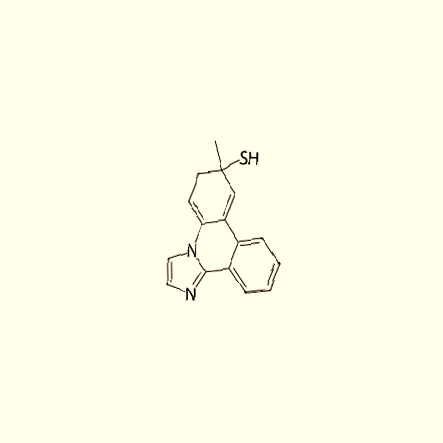 CC1(S)C=c2c(n3ccnc3c3ccccc23)=CC1